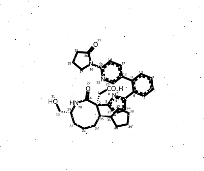 O=C(O)C[C@@]1(c2nc(-c3ccccc3-c3ccc(N4CCCC4=O)nc3)cs2)C(=O)N[C@@H](CO)CCC[C@@H]1C1CCCC1